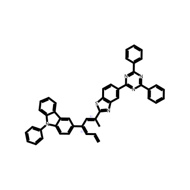 C=C/C=C(\C=C(/C)c1nc2cc(-c3nc(-c4ccccc4)nc(-c4ccccc4)n3)ccc2s1)c1ccc2c(c1)c1ccccc1n2-c1ccccc1